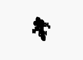 Cc1cc(-c2sc(NC(=O)N3CCOCC3)nc2-c2cccc(C#N)c2)c2cnn(C(c3ccccc3)(c3ccccc3)c3ccccc3)c2n1